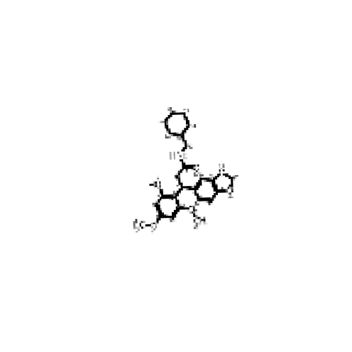 COc1cc(O)c(C(CC(=O)NCC2CCCCC2)c2ccc3c(c2)OCO3)c(OC)c1